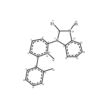 CCC1N(c2cccc(-c3ccccc3C)[n+]2C)c2ccccc2N1C(C)C